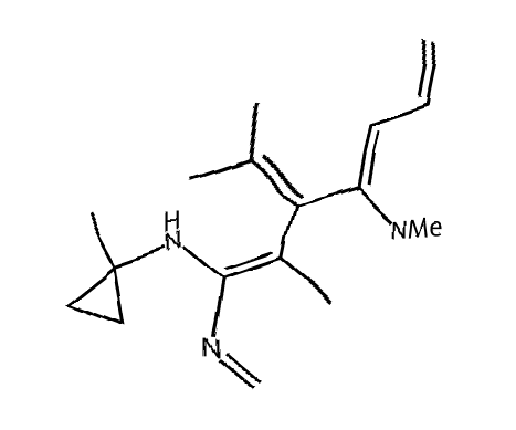 C=C/C=C(\NC)C(=C(C)C)/C(C)=C(/N=C)NC1(C)CC1